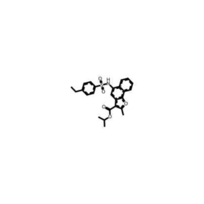 CCc1ccc(S(=O)(=O)Nc2cc3c(C(=O)OC(C)C)c(C)oc3c3ccccc23)cc1